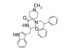 CN1CCC2(CC1)C(=O)NC(Cc1c[nH]c3ccccc13)C(=O)N2CC(c1ccccc1)c1ccccc1